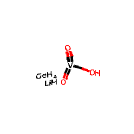 [GeH4].[LiH].[O]=[V](=[O])[OH]